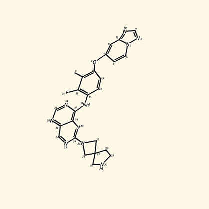 Cc1c(Oc2ccn3ncnc3c2)ccc(Nc2ncnc3cnc(N4CC5(CCNC5)C4)nc23)c1F